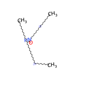 CCCCCCCC/C=C\CCCCCCCCCCCCC(CCCCCCCCCCCCCC)C(=O)NCCCCCCCC/C=C/CCCCCCCC